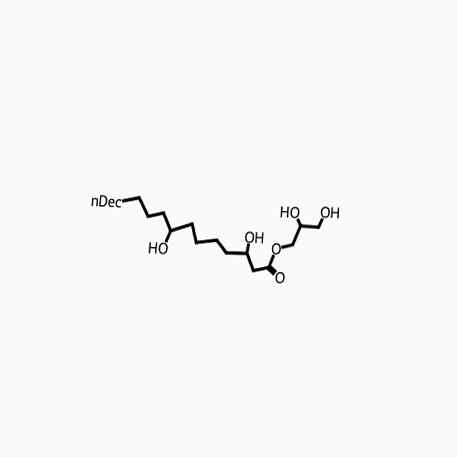 CCCCCCCCCCCCCC(O)CCCCC(O)CC(=O)OCC(O)CO